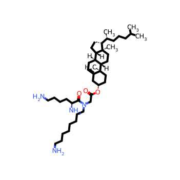 CC(C)CCC[C@@H](C)[C@H]1CC[C@H]2[C@@H]3CC=C4C[C@@H](OC(=O)CN(CCCCCCCCN)C(=O)[C@@H](N)CCCCN)CC[C@]4(C)[C@H]3CC[C@]12C